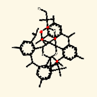 Cc1cc2c(c(C(C)(C)C)c1)C1OC(C(C)(C)CO)(OC3(c4c(cc(C)cc4C(C)(C)C)C(C)c4cc(C)cc(C(C)(C)C)c43)C13COC(C(C)(C)CO)OC3)c1c(cc(C)cc1C(C)(C)C)C2C